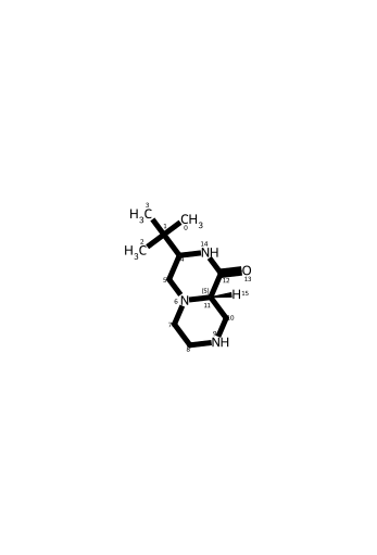 CC(C)(C)C1CN2CCNC[C@H]2C(=O)N1